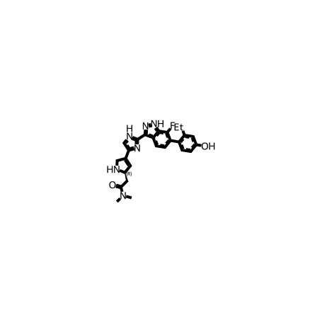 CCc1cc(O)ccc1-c1ccc2c(-c3nc(C4=C[C@@H](CC(=O)N(C)C)NC4)c[nH]3)n[nH]c2c1F